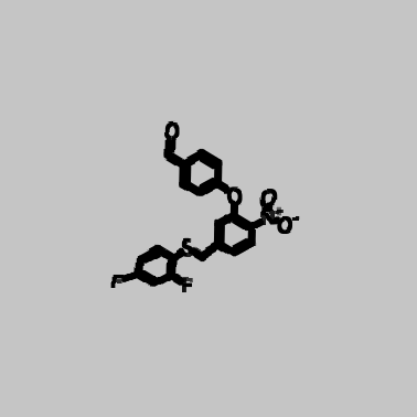 O=Cc1ccc(Oc2cc(CSc3ccc(F)cc3F)ccc2[N+](=O)[O-])cc1